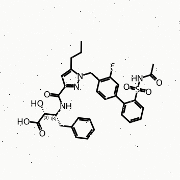 CCCc1cc(C(=O)N[C@H](Cc2ccccc2)[C@@H](O)C(=O)O)nn1Cc1ccc(-c2ccccc2S(=O)(=O)NC(C)=O)cc1F